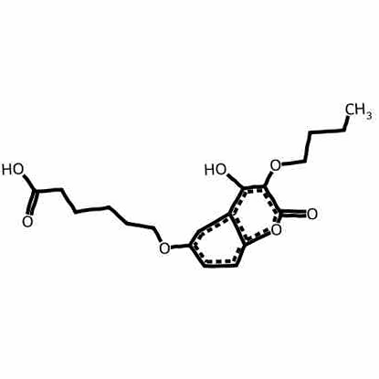 CCCCOc1c(O)c2cc(OCCCCCC(=O)O)ccc2oc1=O